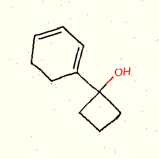 OC1(C2=CC=CC[CH]2)CCC1